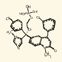 Cn1cncc1[C@@](OCO[PH](O)(O)O)(c1ccc(Cl)cc1)c1ccc2c(c1)c(-c1cccc(Cl)c1)cc(=O)n2C